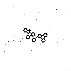 CC1(C)c2ccccc2-c2c1c1ccc3c(c4ccccc4n3-c3ccc4c5ccccc5c5ccccc5c4c3)c1c1ccccc21